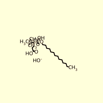 CCCCCCCCCCCCCCOP(=O)(O)O[C@H](CCC(=O)O)[N+](C)(C)C.[OH-]